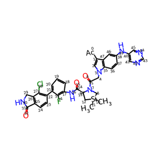 CC(=O)c1cn(CC(=O)N2C[Si](C)(C)C[C@H]2C(=O)Nc2cccc(-c3ccc4c(c3Cl)CNC4=O)c2F)c2ccc(Nc3cncnc3)cc12